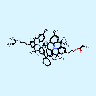 C=CC(=C)OCCCc1cc2c3c(c1)C(C)(C)c1cc(C4(c5cc6c7c(c5)C(C)(C)c5cc(CCCOC(=O)C=C)cc8c5N7c5c(cc(C)cc5C6(C)C)C8(C)C)CCCCC4)cc4c1N3c1c(cc(C)cc1C4(C)C)C2(C)C